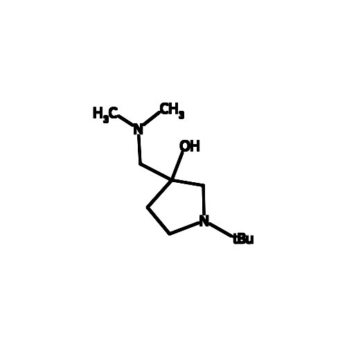 CN(C)CC1(O)CCN(C(C)(C)C)C1